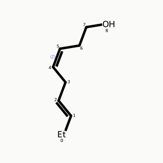 CCC=CC/C=C\CCO